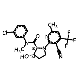 Cc1cc(C(F)(F)F)c(C#N)c(N2CC[C@H](O)[C@H]2C(=O)N(C)c2cccc(Cl)c2)n1